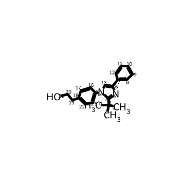 CC(C)(C)c1nc(-c2ccccc2)cn1-c1ccc(CCO)cc1